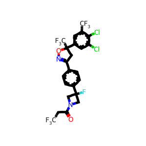 O=C(CC(F)(F)F)N1CC(F)(c2ccc(C3=NOC(c4cc(Cl)c(Cl)c(C(F)(F)F)c4)(C(F)(F)F)C3)cc2)C1